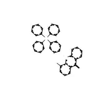 S=c1c2ccccc2oc2c([SH2+])cccc12.c1ccc([B-](c2ccccc2)(c2ccccc2)c2ccccc2)cc1